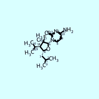 CC(C)C[C@H]1O[C@@H](n2ccc(N)nc2=O)[C@](C)(F)[C@@H]1C(C)C